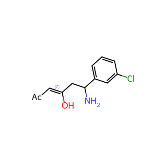 CC(=O)/C=C(\O)CC(N)c1cccc(Cl)c1